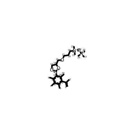 C=C(C)c1c(C)c(C)c(C)c(N2OCC(COCCC[N+](C)(C)O[N+](C)(C)C)O2)c1C